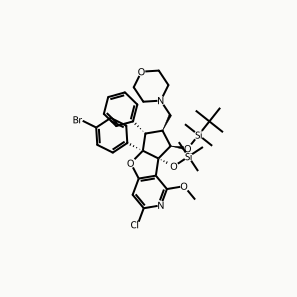 COc1nc(Cl)cc2c1[C@]1(O[Si](C)(C)C)[C@H](O[Si](C)(C)C(C)(C)C)[C@H](CN3CCOCC3)[C@@H](c3ccccc3)[C@]1(c1ccc(Br)cc1)O2